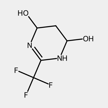 OC1CC(O)NC(C(F)(F)F)=N1